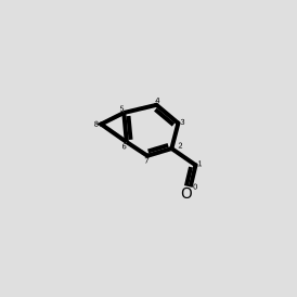 O=Cc1ccc2c(c1)C2